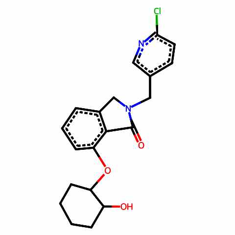 O=C1c2c(cccc2OC2CCCCC2O)CN1Cc1ccc(Cl)nc1